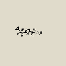 CCC(CC)(C(=O)O)c1csc(NS(=O)(=O)C2CC2)n1